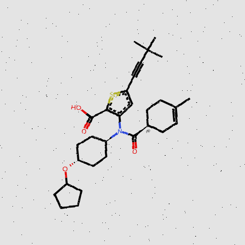 CC1=CC[C@@H](C(=O)N(c2cc(C#CC(C)(C)C)sc2C(=O)O)[C@H]2CC[C@H](OC3CCCC3)CC2)CC1